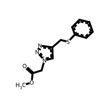 COC(=O)Cn1cc(CSc2ccccc2)nn1